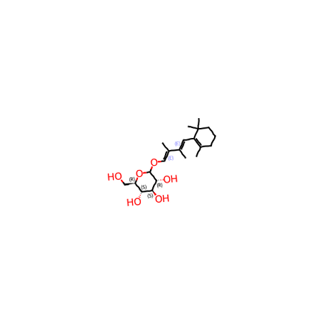 CC1=C(/C=C(C)/C(C)=C/OC2O[C@H](CO)[C@@H](O)[C@H](O)[C@H]2O)C(C)(C)CCC1